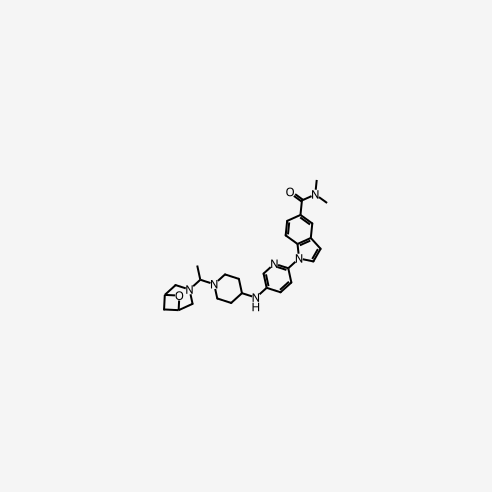 CC(N1CCC(Nc2ccc(-n3ccc4cc(C(=O)N(C)C)ccc43)nc2)CC1)N1CC2CC(C1)O2